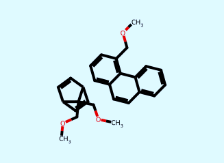 COCC1(COC)C2C=CC1C=C2.COCc1cccc2ccc3ccccc3c12